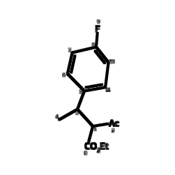 CCOC(=O)C(C(C)=O)C(C)c1ccc(F)cc1